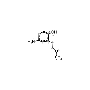 COCCc1cc(N)ccc1O